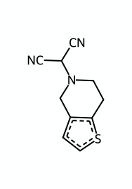 N#CC(C#N)N1CCc2sccc2C1